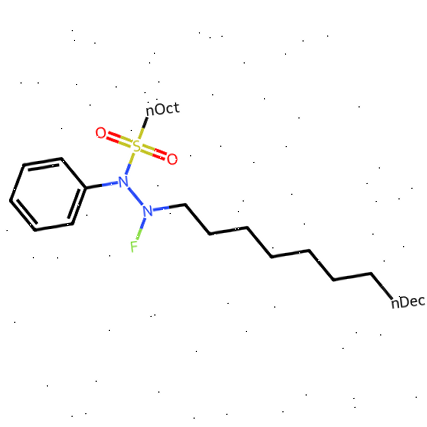 CCCCCCCCCCCCCCCCCN(F)N(c1ccccc1)S(=O)(=O)CCCCCCCC